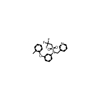 Cc1ccccc1Oc1cccc(N(Cc2cccnc2)S(=O)(=O)CC(F)(F)F)c1